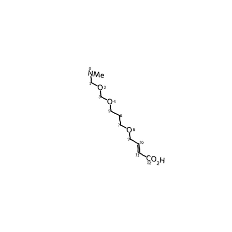 CNCOCOCCCOC/C=C/C(=O)O